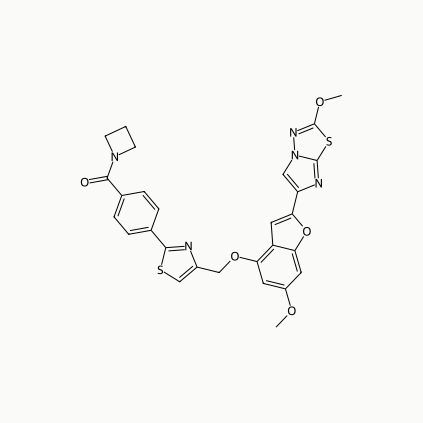 COc1cc(OCc2csc(-c3ccc(C(=O)N4CCC4)cc3)n2)c2cc(-c3cn4nc(OC)sc4n3)oc2c1